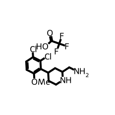 COc1ccc(Cl)c(Cl)c1C1CCNC(CN)C1.O=C(O)C(F)(F)F